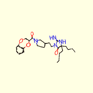 CCCCC1(CCCC)NC(=N)N(CCC2CCN(C(=O)C3COc4ccccc4O3)C2)C1=O